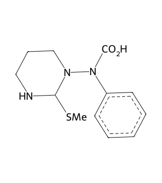 CSC1NCCCN1N(C(=O)O)c1ccccc1